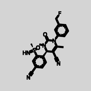 CC1=C(C#N)[C@@H](c2ccc(C#N)cc2[S@@](C)(=N)=O)N(C)C(=O)N1c1cccc(CF)c1